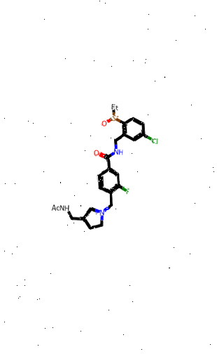 CC[S+]([O-])c1ccc(Cl)cc1CNC(=O)c1ccc(CN2CCC(CNC(C)=O)C2)c(F)c1